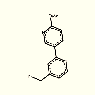 COc1ccc(-c2cc(CC(C)C)ccn2)cn1